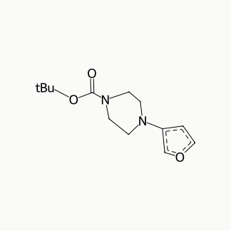 CC(C)(C)OC(=O)N1CCN(c2ccoc2)CC1